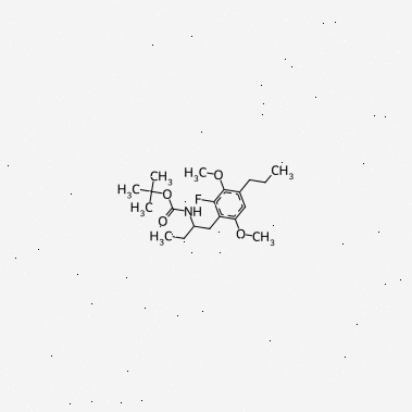 CCCc1cc(OC)c(CC(CC)NC(=O)OC(C)(C)C)c(F)c1OC